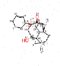 CO[C@@H]1CCC23CC[C@H]4C[C@@]4(C12)[C@H](O)C[C@@](C)(C1C=CCCC1)C(=O)[C@@H]3C